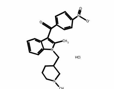 Cc1c(C(=O)c2ccc([N+](=O)[O-])cc2)c2ccccc2n1CC1CCCN(C)C1.Cl